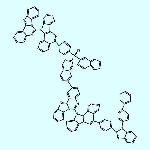 O=P(c1ccc(-c2cc3c4ccccc4n(-c4nc5ccccc5c5nc6ccccc6n45)c3c3ccccc23)cc1)(c1ccc2ccccc2c1)c1ccc2ccc(-c3ccc4nc(-n5c6ccccc6c6cc(-c7ccc(-c8nc9ccccc9n8-c8ccc(-c9ccccc9)cc8)cc7)c7ccccc7c65)n5c6ccccc6nc5c4c3)cc2c1